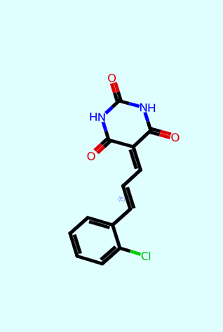 O=C1NC(=O)C(=C/C=C/c2ccccc2Cl)C(=O)N1